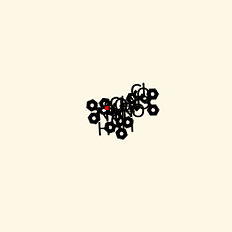 O=C(N[C@@H]1C(=O)N2C(C(=O)OC(c3ccccc3)c3ccccc3)=C(Cl)CC[C@H]12)C(=NOC(c1ccccc1)(c1ccccc1)c1ccccc1)c1nc(NC(c2ccccc2)(c2ccccc2)c2ccccc2)sc1Cl